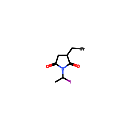 CC(C)CC1CC(=O)N(C(C)I)C1=O